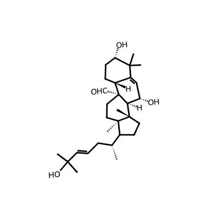 C[C@H](C/C=C/C(C)(C)O)C1CC[C@@]2(C)[C@@H]3[C@@H](O)C=C4[C@@H](CC[C@H](O)C4(C)C)[C@]3(C=O)CC[C@]12C